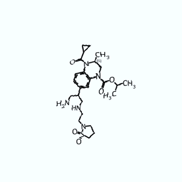 CC(C)OC(=O)N1C[C@H](C)N(C(=O)C2CC2)c2ccc(C(CN)CNCCN3CCCS3(=O)=O)cc21